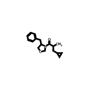 CC(CC1CC1)C(=O)N1COCC1Cc1ccccc1